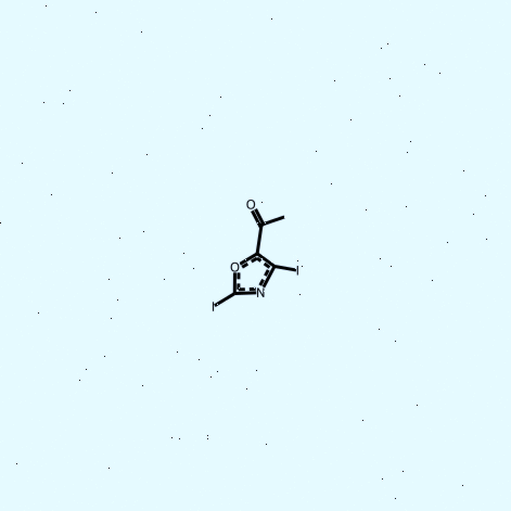 CC(=O)c1oc(I)nc1I